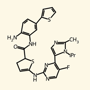 Cc1ncc(-c2nc(NC3=CCC(C(=O)Nc4cc(-c5cccs5)ccc4N)S3)ncc2F)n1C(C)C